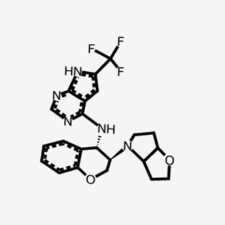 FC(F)(F)c1cc2c(N[C@H]3c4ccccc4OC[C@@H]3N3CCC4OCCC43)ncnc2[nH]1